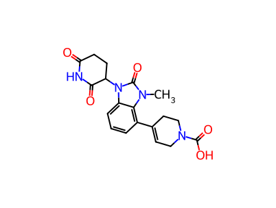 Cn1c(=O)n(C2CCC(=O)NC2=O)c2cccc(C3=CCN(C(=O)O)CC3)c21